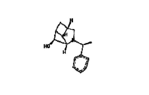 C[C@@H](c1ccccc1)N1C[C@H]2CC3[C@H]2[C@H]1[C@H]3O